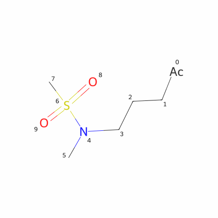 CC(=O)CCCN(C)S(C)(=O)=O